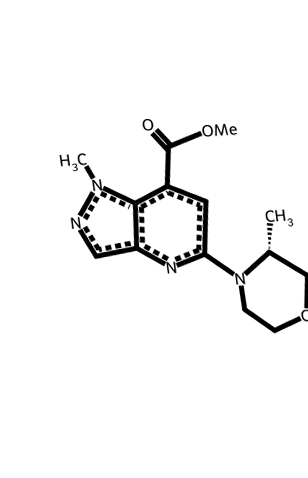 COC(=O)c1cc(N2CCOC[C@H]2C)nc2cnn(C)c12